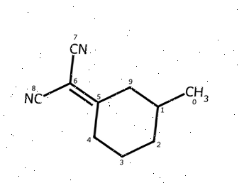 CC1CCCC(=C(C#N)C#N)C1